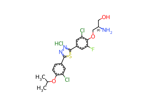 CC(C)Oc1ccc(-c2nnc(-c3cc(F)c(OC[C@H](N)CO)c(Cl)c3)s2)cc1Cl.Cl